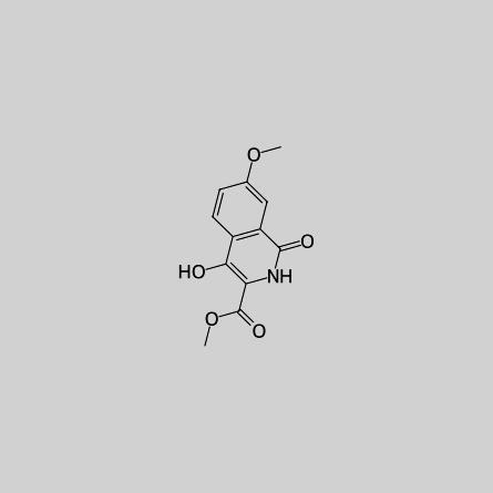 COC(=O)c1[nH]c(=O)c2cc(OC)ccc2c1O